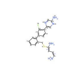 N/C=C\C=C(/N)SCc1ccccc1-c1ccc(-c2cnc(N)cn2)c(F)c1